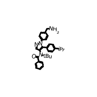 CC(C)c1ccc(-c2c(N(C(=O)c3ccccc3)C(C)(C)C)cnn2-c2ccc(CN)cc2)cc1